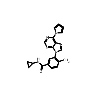 Cc1ccc(C(=O)NC2CC2)cc1-n1cnc2c(N3C=C=C=C3)ncnc21